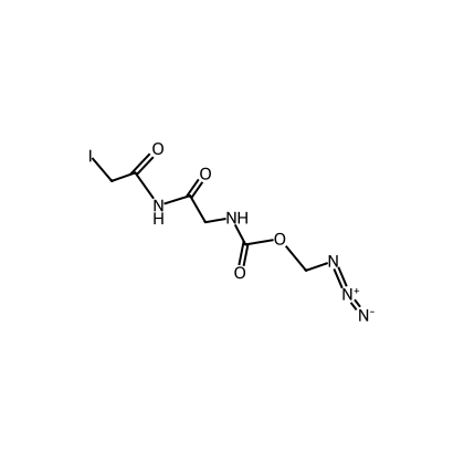 [N-]=[N+]=NCOC(=O)NCC(=O)NC(=O)CI